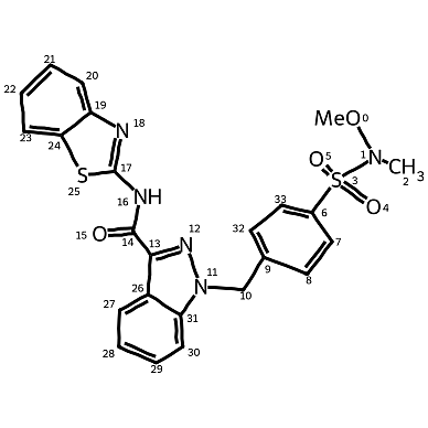 CON(C)S(=O)(=O)c1ccc(Cn2nc(C(=O)Nc3nc4ccccc4s3)c3ccccc32)cc1